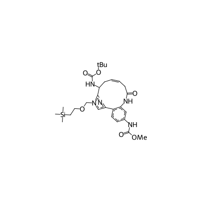 COC(=O)Nc1ccc2c(c1)NC(=O)CC=CCC(NC(=O)OC(C)(C)C)c1nc-2cn1COCC[Si](C)(C)C